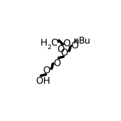 C=CC(=O)OC(COCCOCCOCCO)OCCCC